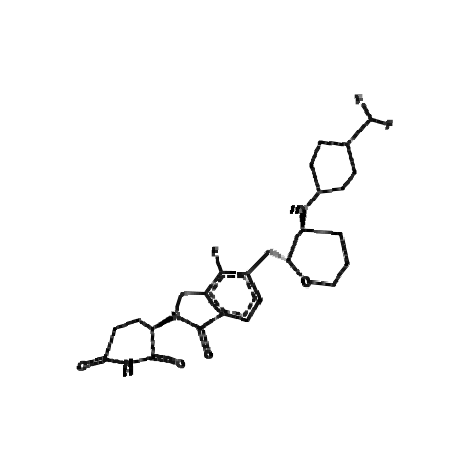 O=C1CC[C@@H](N2Cc3c(ccc(C[C@H]4OCCC[C@@H]4NC4CCC(C(F)F)CC4)c3F)C2=O)C(=O)N1